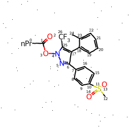 CCCC(=O)On1nc(-c2ccc(S(C)(=O)=O)cc2)c(-c2ccccc2C)c1C(F)(F)F